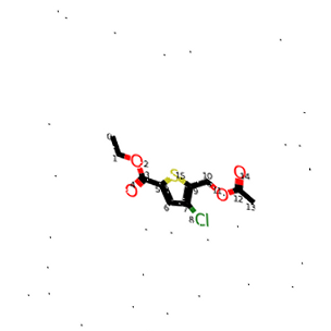 CCOC(=O)c1cc(Cl)c(COC(C)=O)s1